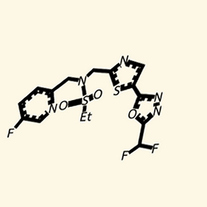 CCS(=O)(=O)N(Cc1ccc(F)cn1)Cc1ncc(-c2nnc(C(F)F)o2)s1